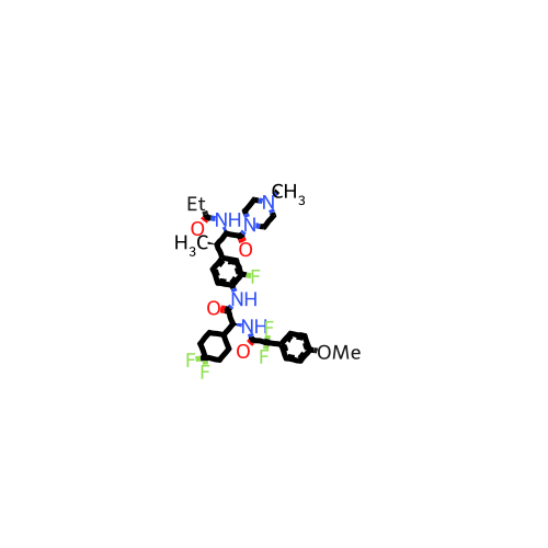 CCC(=O)N[C@@H](C(=O)N1CCN(C)CC1)[C@@H](C)c1ccc(NC(=O)[C@@H](NC(=O)C(F)(F)c2ccc(OC)cc2)C2CCC(F)(F)CC2)c(F)c1